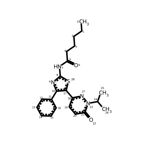 CCCCCC(=O)Nc1nc(-c2ccccc2)c(-c2ccc(=O)n(C(C)C)n2)s1